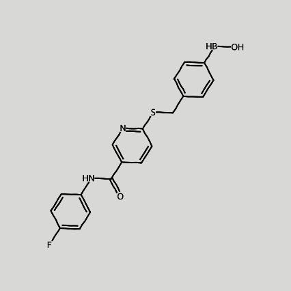 O=C(Nc1ccc(F)cc1)c1ccc(SCc2ccc(BO)cc2)nc1